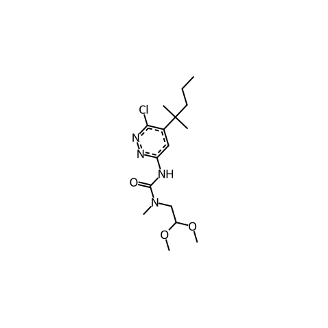 CCCC(C)(C)c1cc(NC(=O)N(C)CC(OC)OC)nnc1Cl